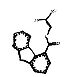 CCCCC(CC)COC(=O)c1cccc2c1-c1ccccc1[C]2